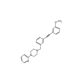 COc1cccc(C#Cc2cccc(CN3CCN(c4ccccn4)CC3)c2)c1